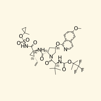 C=C[C@@H]1C[C@]1(NC(=O)[C@@H]1C[C@@H](Oc2nccc3cc(OC)ccc23)CN1C(=O)[C@@H](NC(=O)OC(C)(C)C(F)(F)F)C(C)(C)C)C(=O)NS(=O)(=O)OC1(C)CC1